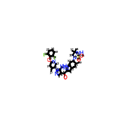 Cc1cc2cc(C(=O)c3cnn(-c4cnc(Oc5c(F)cccc5F)cc4C)c3N)[nH]c2cc1N1CC(C)(C)NS1(=O)=O